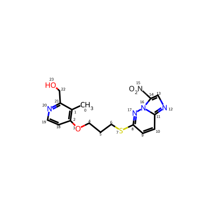 Cc1c(OCCCSc2ccc3ncc([N+](=O)[O-])n3n2)ccnc1CO